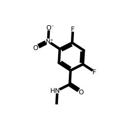 CNC(=O)c1cc([N+](=O)[O-])c(F)cc1F